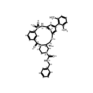 Cc1cccc(C)c1-c1cc2nc(n1)NS(=O)(=O)c1cccc(c1)C(=O)N1CCN(C(=O)NCc3ccccc3)C[C@@H]1CO2